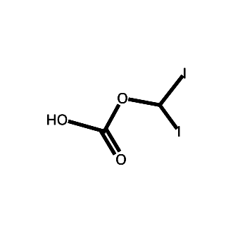 O=C(O)OC(I)I